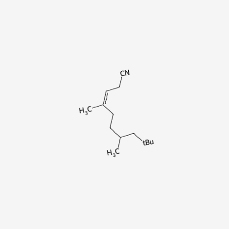 CC(=CCC#N)CCC(C)CC(C)(C)C